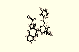 CC(=O)c1nc2c(s1)Sc1ccccc1N=C2N1CCN(C)C(CCc2cccc(F)c2)C1.Cl.Cl